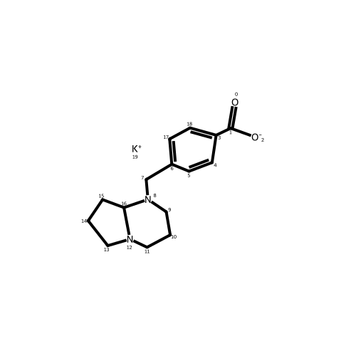 O=C([O-])c1ccc(CN2CCCN3CCCC32)cc1.[K+]